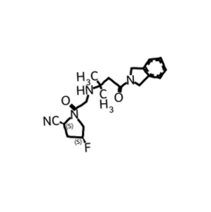 CC(C)(CC(=O)N1Cc2ccccc2C1)NCC(=O)N1C[C@@H](F)C[C@H]1C#N